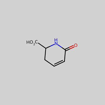 O=C1C=CCC(C(=O)O)N1